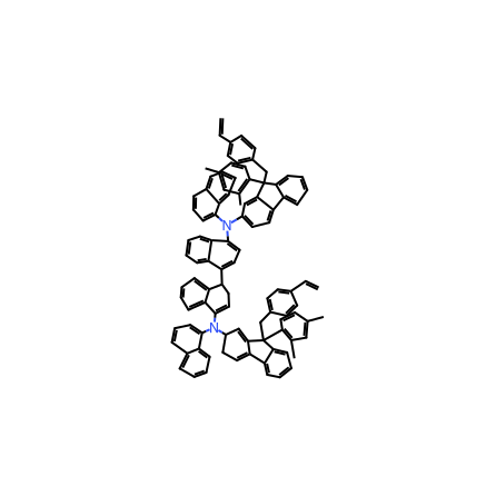 C=Cc1ccc(CC2(c3ccc(C)cc3C)C3=CC(N(C4=CCC(c5ccc(N(c6ccc7c(c6)C(Cc6ccc(C=C)cc6)(c6ccc(C)cc6C)c6ccccc6-7)c6cccc7ccccc67)c6ccccc56)c5ccccc54)c4cccc5ccccc45)CC=C3c3ccccc32)cc1